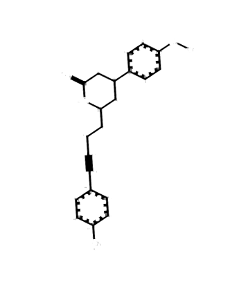 CCOc1ccc(C2CC(=O)OC(CCC#Cc3ccc(C#N)cc3)C2)cc1